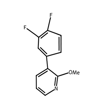 COc1ncccc1-c1ccc(F)c(F)c1